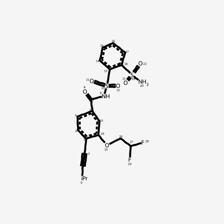 CC(C)C#Cc1ccc(C(=O)NS(=O)(=O)c2ccccc2S(N)(=O)=O)cc1OCC(F)F